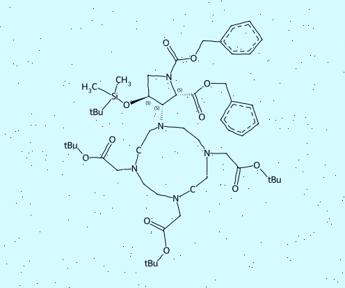 CC(C)(C)OC(=O)CN1CCN(CC(=O)OC(C)(C)C)CCN([C@@H]2[C@@H](O[Si](C)(C)C(C)(C)C)CN(C(=O)OCc3ccccc3)[C@@H]2C(=O)OCc2ccccc2)CCN(CC(=O)OC(C)(C)C)CC1